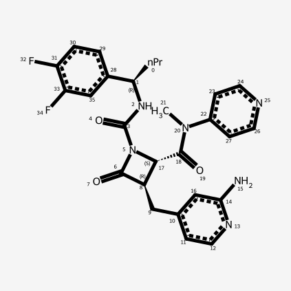 CCC[C@@H](NC(=O)N1C(=O)[C@H](Cc2ccnc(N)c2)[C@H]1C(=O)N(C)c1ccncc1)c1ccc(F)c(F)c1